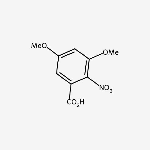 COc1cc(OC)c([N+](=O)[O-])c(C(=O)O)c1